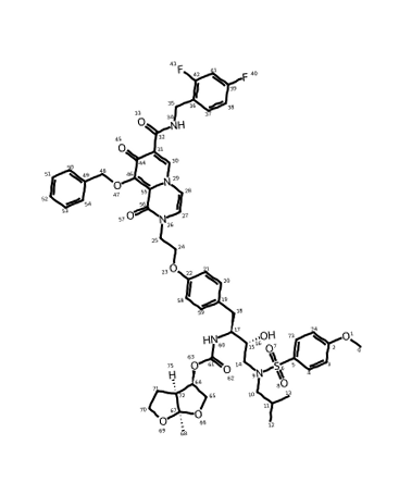 COc1ccc(S(=O)(=O)N(CC(C)C)C[C@@H](O)[C@H](Cc2ccc(OCCn3ccn4cc(C(=O)NCc5ccc(F)cc5F)c(=O)c(OCc5ccccc5)c4c3=O)cc2)NC(=O)O[C@H]2CO[C@@]3(C)OCC[C@@H]23)cc1